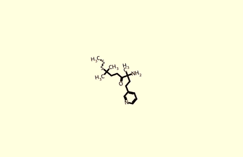 CSSC(C)(C)CCC(=O)C(C)(N)CCc1cccnc1